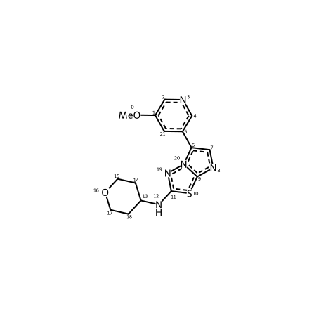 COc1cncc(-c2cnc3sc(NC4CCOCC4)nn23)c1